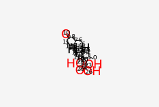 CC1C[C@H]2[C@@H]3CCC4=CC(=O)C=C[C@]4(C)[C@H]3CC[C@]2(C)[C@H]1C(O)(O)C(=O)O